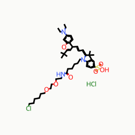 CCN(CC)c1ccc2c(c1)OC(C(C)(C)C)=CC2C=CC=C1N(CCCCCC(=O)NCCOCCOCCCCCCCl)c2ccc(S(=O)(=O)O)cc2C1(C)C.Cl